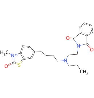 CCCN(CCCCc1ccc2c(c1)sc(=O)n2C)CCN1C(=O)c2ccccc2C1=O